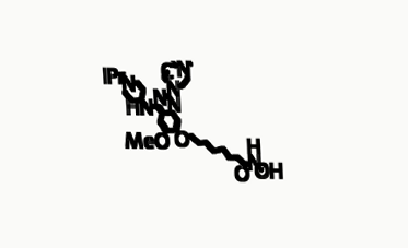 COc1cc2c(NC3CCN(C(C)C)CC3)nc(N3CCCN(C)CC3)nc2cc1OCCCCCCCC(=O)NO